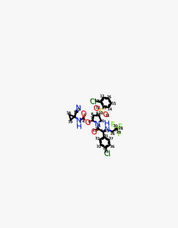 N#CC1(NC(=O)OC2C[C@@H](S(=O)(=O)c3ccccc3Cl)CN2C(=O)C(NCC(F)(F)F)c2ccc(Cl)cc2)CC1